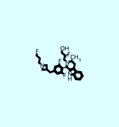 C[C@@H]1Cc2c([nH]c3ccccc23)[C@@H](c2c(F)cc(CC3CN(CCCF)C3)cc2F)N1C[C@H](F)CO